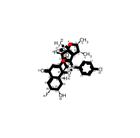 C[C@@H]1C2=C(C[C@@H]1C)[C@H](F)C1=C2N(c2ccc(Cl)cc2)O[C@@]2(C(=O)COS(C)(=O)=O)C1=CC(=O)C1=C[C@@H](F)[C@@H](O)C[C@@H]12